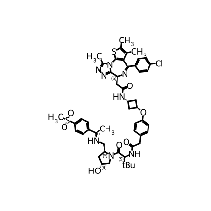 Cc1sc2c(c1C)C(c1ccc(Cl)cc1)=N[C@@H](CC(=O)N[C@H]1C[C@H](Oc3ccc(CC(=O)N[C@H](C(=O)N4C[C@H](O)C[C@H]4CN[C@H](C)c4ccc(S(C)(=O)=O)cc4)C(C)(C)C)cc3)C1)c1nnc(C)n1-2